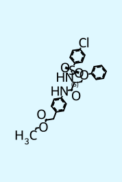 CCOC(=O)Cc1ccc(NC(=O)[C@H](COc2ccccc2)NS(=O)(=O)c2ccc(Cl)cc2)cc1